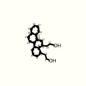 OCCc1cccc2c1c(CCO)cc1c3ccccc3ccc21